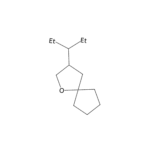 CCC(CC)C1COC2(CCCC2)C1